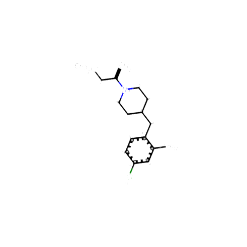 C=C(CC(=O)OCC)N1CCC(Cc2ccc(Cl)cc2C(C)(C)C)CC1